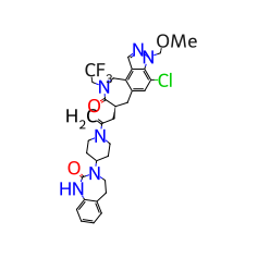 C=C(C[C@@H]1Cc2cc(Cl)c3c(cnn3COC)c2CN(CC(F)(F)F)C1=O)N1CCC(N2CCc3ccccc3NC2=O)CC1